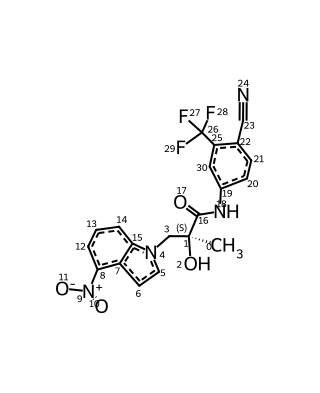 C[C@](O)(Cn1ccc2c([N+](=O)[O-])cccc21)C(=O)Nc1ccc(C#N)c(C(F)(F)F)c1